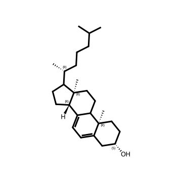 CC(C)CCC[C@@H](C)C1CC[C@H]2C3=CC=C4C[C@@H](O)CC[C@]4(C)C3CC[C@]12C